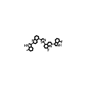 Cc1cccc2c(-c3ccc4c(-c5cnc(-c6ccc(F)c7nc(-c8c[nH]c9c(F)cccc89)ccc67)s5)cccc4n3)c[nH]c12